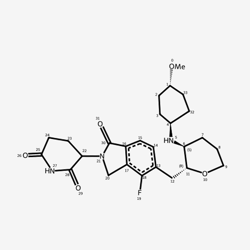 CO[C@H]1CC[C@H](N[C@H]2CCCO[C@@H]2Cc2ccc3c(c2F)CN(C2CCC(=O)NC2=O)C3=O)CC1